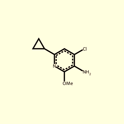 COc1nc(C2CC2)cc(Cl)c1N